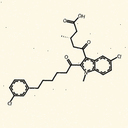 C[C@H](CC(=O)O)CC(=O)c1c(C(=O)CCCCCc2cccc(Cl)c2)n(C)c2ccc(Cl)cc12